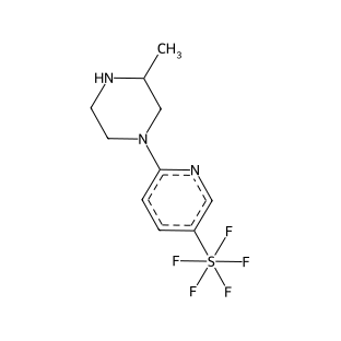 CC1CN(c2ccc(S(F)(F)(F)(F)F)cn2)CCN1